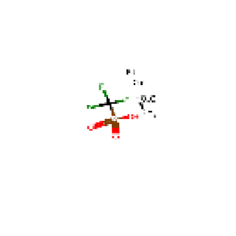 CC(=O)O.O=S(=O)(O)C(F)(F)F.[Cu].[Pd]